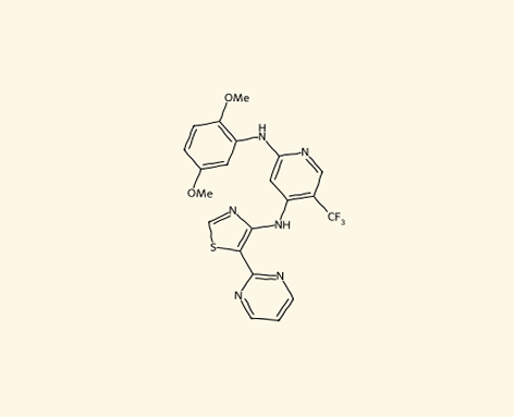 COc1ccc(OC)c(Nc2cc(Nc3ncsc3-c3ncccn3)c(C(F)(F)F)cn2)c1